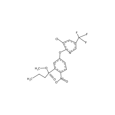 CCCP(=O)(OC)c1cc(Oc2ncc(C(F)(F)F)cc2Cl)ccc1[N+](=O)[O-]